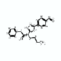 CCCCN(C(=O)Cc1ccccc1)c1nnc(-c2ccc(C=O)cc2)s1